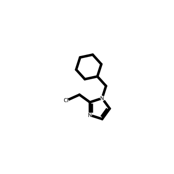 ClCc1nccn1CC1CCCCC1